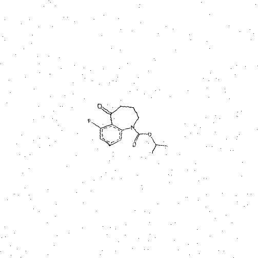 CC(C)OC(=O)N1CCCC(=O)c2c(F)cccc21